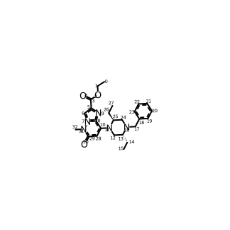 CCOC(=O)c1cn2c(n1)c(N1C[C@@H](CC)N(Cc3ccccc3)C[C@@H]1CC)cc(=O)n2C